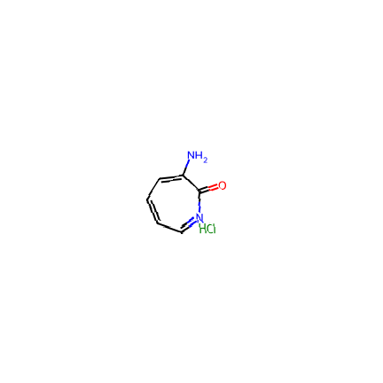 Cl.Nc1ccccnc1=O